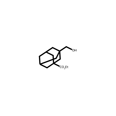 CCOC(=O)C12CC3CC(CC(CO)(C3)C1)C2